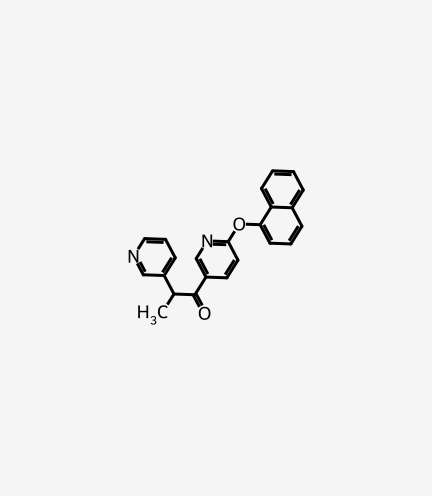 CC(C(=O)c1ccc(Oc2cccc3ccccc23)nc1)c1cccnc1